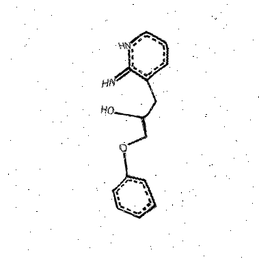 N=c1[nH]cccc1CC(O)COc1ccccc1